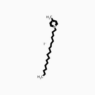 CCCCCCCCCCCCCCCCCC[n+]1ccc(C)cc1.[I-]